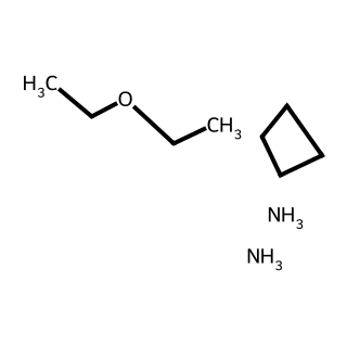 C1CCC1.CCOCC.N.N